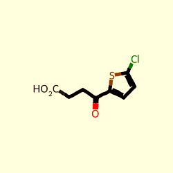 O=C(O)CCC(=O)c1ccc(Cl)s1